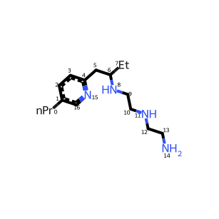 CCCc1ccc(CC(CC)NCCNCCN)nc1